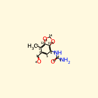 Cc1c(C=O)cc(NC(N)=O)c2c1OCO2